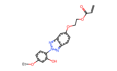 C=CC(=O)OCCOc1ccc2nn(-c3ccc(OCC)cc3O)nc2c1